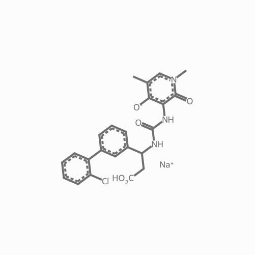 Cc1cn(C)c(=O)c(NC(=O)NC(CC(=O)O)c2cccc(-c3ccccc3Cl)c2)c1[O-].[Na+]